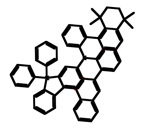 CC1(C)CCC(C)(C)c2c(-c3ccccc3N(c3ccc4c(c3)[Si](c3ccccc3)(c3ccccc3)c3ccccc3-4)c3ccccc3-c3ccc4ccccc4c3)cccc21